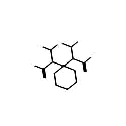 NC(=O)C1C(O)NC(O)C(C(N)=O)C12CCCCC2